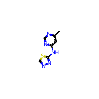 Cc1cc(Nc2nncs2)ncn1